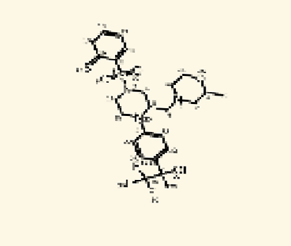 C[C@H]1CN(C[C@@H]2CN(S(=O)(=O)C3=CC=CCC3=S)CCN2c2ccc([C@](C)(O)C(F)(F)F)cc2)CCO1